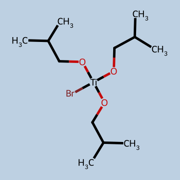 CC(C)C[O][Ti]([Br])([O]CC(C)C)[O]CC(C)C